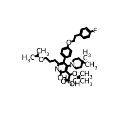 Cc1nc(CCCOC(C)C)c(-c2ccc(OCCc3ccc(F)cc3)cc2)c(N2CCC(C)(C)CC2)c1C(OC(C)(C)C)C(=O)O